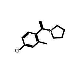 C=C(c1ccc(Cl)cc1C)N1CCCC1